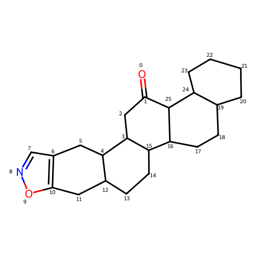 O=C1CC2C3Cc4cnoc4CC3CCC2C2CCC3CCCCC3C12